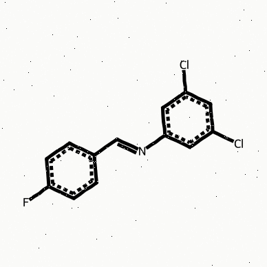 Fc1ccc(/C=N/c2cc(Cl)cc(Cl)c2)cc1